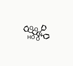 O=C1c2c(oc(=O)c(Cc3ccccc3)c2O)C(c2ccccc2)N1c1ccccc1